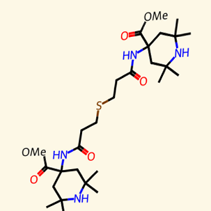 COC(=O)C1(NC(=O)CCSCCC(=O)NC2(C(=O)OC)CC(C)(C)NC(C)(C)C2)CC(C)(C)NC(C)(C)C1